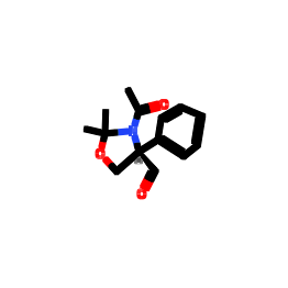 CC(=O)N1C(C)(C)OC[C@@]1(C=O)c1ccccc1